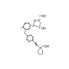 Cc1ccc([C@H]2C[C@@H](O)C[C@@H](CO)O2)cc1Cc1ccc(C#CC2(CO)CCCC2)cc1